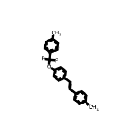 Cc1ccc(CCc2ccc(OC(F)(F)c3ccc(C)cc3)cc2)cc1